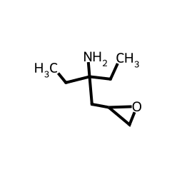 CCC(N)(CC)CC1CO1